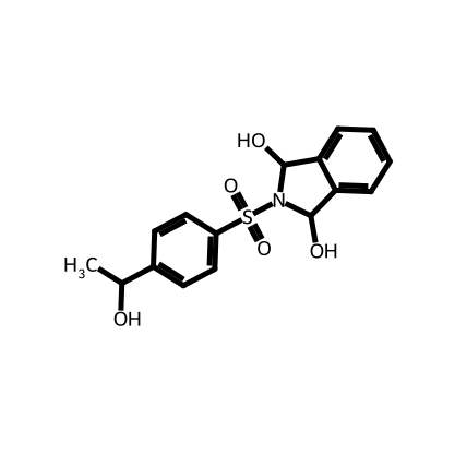 CC(O)c1ccc(S(=O)(=O)N2C(O)c3ccccc3C2O)cc1